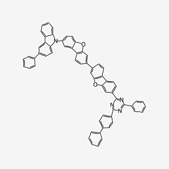 c1ccc(-c2ccc(-c3nc(-c4ccccc4)nc(-c4ccc5c(c4)oc4cc(-c6ccc7c(c6)oc6ccc(-n8c9ccccc9c9cc(-c%10ccccc%10)ccc98)cc67)ccc45)n3)cc2)cc1